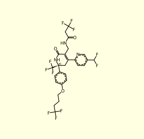 O=C(CC(F)(F)F)NCC1=C(c2ccc(C(F)F)cn2)C[C@@](c2ccc(OCCCC(F)(F)F)cc2)(C(F)(F)F)NC1=O